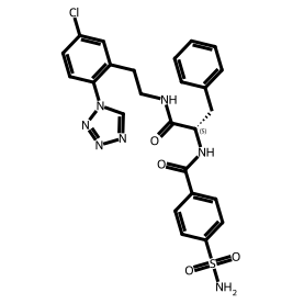 NS(=O)(=O)c1ccc(C(=O)N[C@@H](Cc2ccccc2)C(=O)NCCc2cc(Cl)ccc2-n2cnnn2)cc1